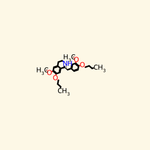 CCCCOc1ccc(C[C@@H]2NCCc3cc(OC)c(OCCCC)cc32)cc1OC